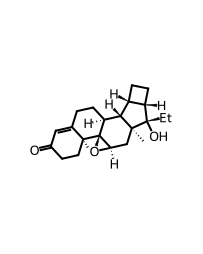 CC[C@]1(O)[C@H]2CC[C@H]2[C@H]2[C@@H]3CCC4=CC(=O)CC[C@]4(C)[C@]34O[C@@H]4C[C@@]21C